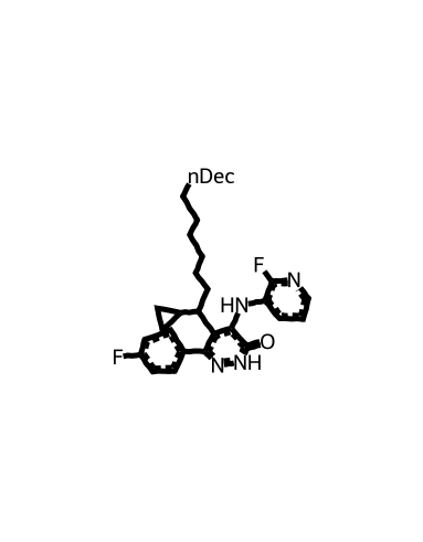 CCCCCCCCCCCCCCCCC(c1c(-c2ccc(F)cc2)n[nH]c(=O)c1Nc1cccnc1F)C1CC1